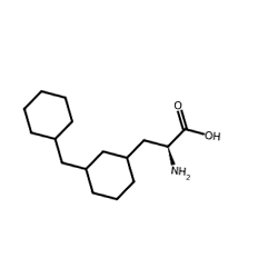 N[C@@H](CC1CCCC(CC2CCCCC2)C1)C(=O)O